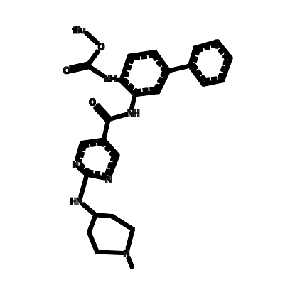 CN1CCC(Nc2ncc(C(=O)Nc3cc(-c4ccccc4)ccc3NC(=O)OC(C)(C)C)cn2)CC1